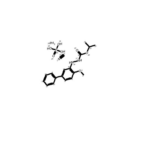 C#N.COc1ccc(-c2ccccc2)cc1NNC(=O)OC(C)C.O=P(O)(O)O.P